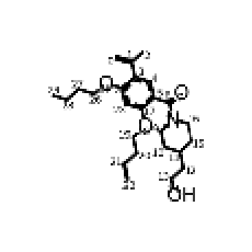 C=C(C)c1cc(C(=O)N2CCC(CCO)CC2)c(OCCCC)cc1OCCCC